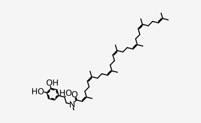 CC(C)=CCCC(C)=CCCC(C)=CCCC(C)=CCCC(C)=CCCC(C)=CCCC(C)=CC(=O)N(C)C[C@H](O)c1ccc(O)c(O)c1